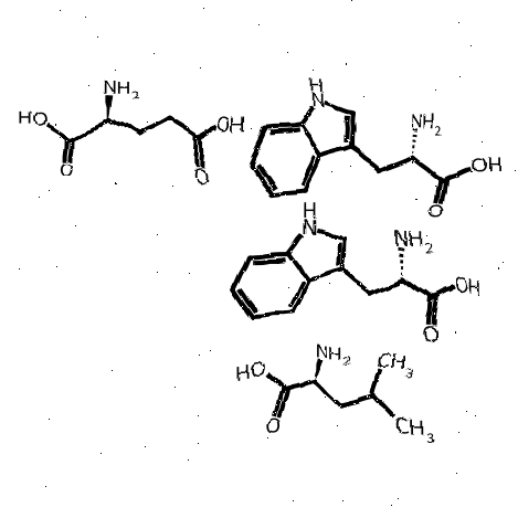 CC(C)C[C@H](N)C(=O)O.N[C@@H](CCC(=O)O)C(=O)O.N[C@@H](Cc1c[nH]c2ccccc12)C(=O)O.N[C@@H](Cc1c[nH]c2ccccc12)C(=O)O